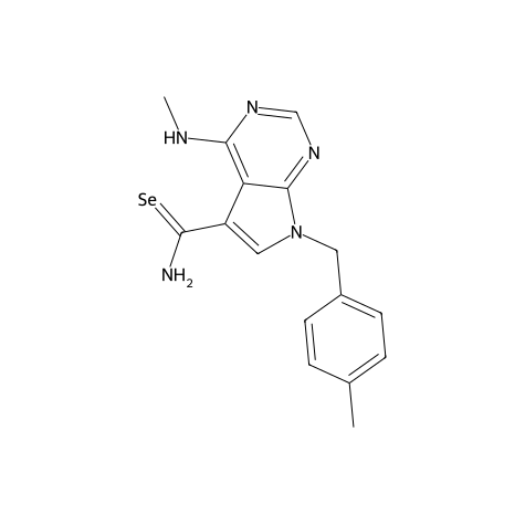 CNc1ncnc2c1c(C(N)=[Se])cn2Cc1ccc(C)cc1